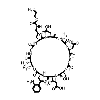 C=CCOC(=O)NCCC[C@@H]1NC(=O)CNC(=O)[C@@H](N)[C@@H](C)OC(=O)[C@H](CC(=O)c2ccccc2N)NC(=O)[C@H](C(C)CC(=O)O)NC(=O)[C@@H](CO)NC(=O)CNC(=O)[C@H](CC(=O)O)NC(=O)[C@@H](C)NC(=O)[C@H](CC(=O)O)NC1=O